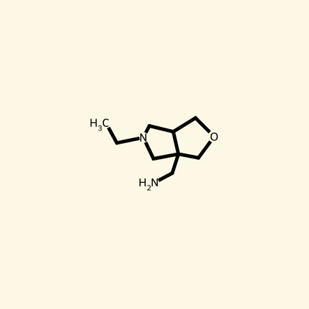 CCN1CC2COCC2(CN)C1